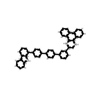 c1cc(-c2ccc(-c3ccc(-c4cccc5c4oc4ccccc45)cc3)cc2)cc(-c2cnc3c4ccccc4c4ccccc4c3n2)c1